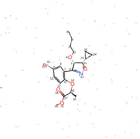 CCCCO[C@H]1C(c2cc(Br)ccc2O[C@@H](C)C(=O)OC)=NO[C@H]1C1CC1